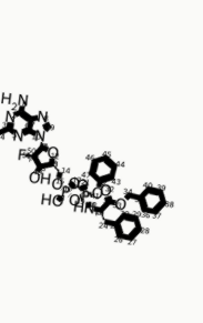 Nc1nc(Cl)nc2c1ncn2[C@@H]1O[C@H](COP(=O)(O)OP(=O)(N[C@@H](Cc2ccccc2)C(=O)OCc2ccccc2)Oc2ccccc2)C(O)[C@H]1F